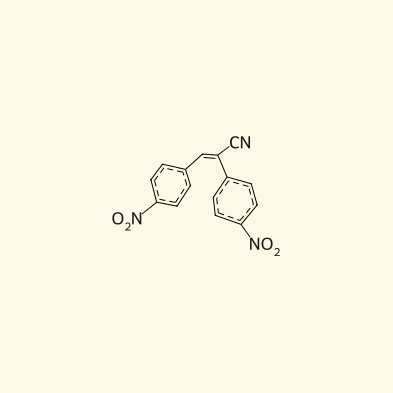 N#CC(=Cc1ccc([N+](=O)[O-])cc1)c1ccc([N+](=O)[O-])cc1